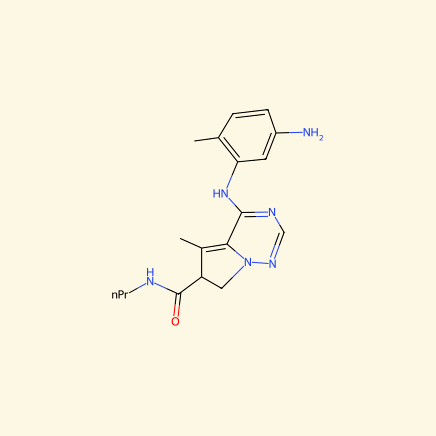 CCCNC(=O)C1CN2N=CN=C(Nc3cc(N)ccc3C)C2=C1C